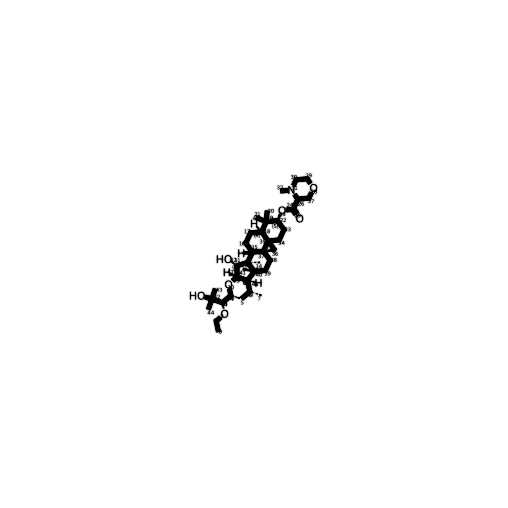 CCO[C@@H]([C@H]1C[C@@H](C)[C@H]2[C@H](O1)[C@H](O)[C@@]1(C)[C@@H]3CC[C@H]4C(C)(C)[C@@H](OC(=O)C5COCCN5C)CCC45C[C@@]35CC[C@]21C)C(C)(C)O